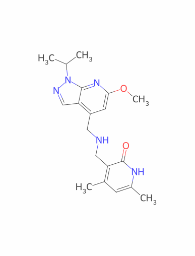 COc1cc(CNCc2c(C)cc(C)[nH]c2=O)c2cnn(C(C)C)c2n1